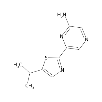 CC(C)c1cnc(-c2cncc(N)n2)s1